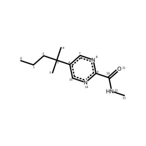 CCCC(C)(C)c1cnc(C(=O)NC)nc1